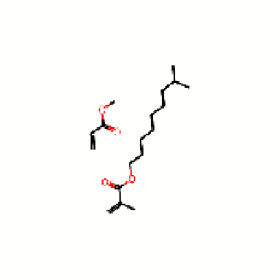 C=C(C)C(=O)OCCCCCCCC(C)C.C=CC(=O)OC